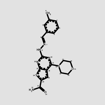 Cc1cccc(/C=N/Nc2nc(N3CCOCC3)c3cc(C(N)=O)sc3n2)c1